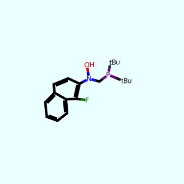 CC(C)(C)P(CN(O)c1ccc2ccccc2c1F)C(C)(C)C